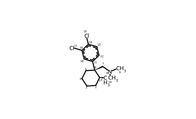 C[C@H]1CCCC[C@]1(CN(C)C)c1ccc(Cl)c(Cl)c1